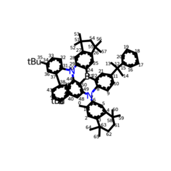 Cc1cc2c(cc1N1c3ccc(C(C)(C)c4ccccc4)cc3B3c4cc5c(cc4N(c4ccc(C(C)(C)C)cc4-c4ccccc4)c4cc(C(C)(C)C)cc1c43)C(C)(C)CC5(C)C)C(C)(C)CCC2(C)C